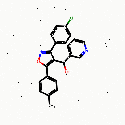 Cc1ccc(-c2onc(-c3ccc(Cl)cc3)c2C(O)c2cccnc2)cc1